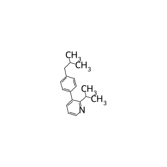 CC(C)Cc1ccc(-c2cccnc2C(C)C)cc1